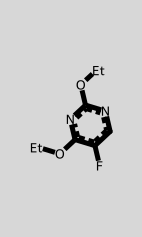 CCOc1ncc(F)c(OCC)n1